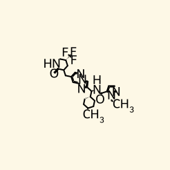 CCn1nccc1C(=O)N[C@H](c1cn2ncc(CC3C[C@@H](C(F)(F)F)CNC3=O)cc2n1)[C@H]1CC[C@H](C)CC1